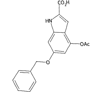 CC(=O)Oc1cc(OCc2ccccc2)cc2[nH]c(C(=O)O)cc12